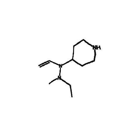 C=CN(C1CCNCC1)N(C)CC